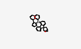 c1ccc(-c2ccccc2N(c2ccccc2)c2cccc3c2-c2ccccc2C32CC3CCC2C3)cc1